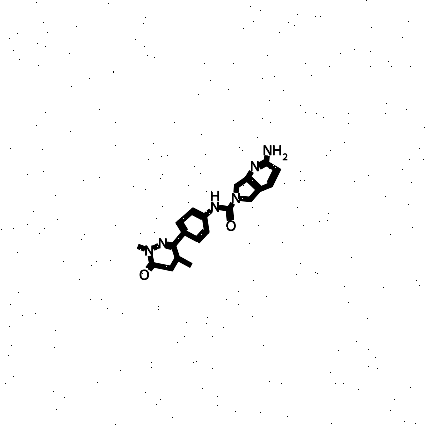 CC1CC(=O)N(C)N=C1c1ccc(NC(=O)N2Cc3ccc(N)nc3C2)cc1